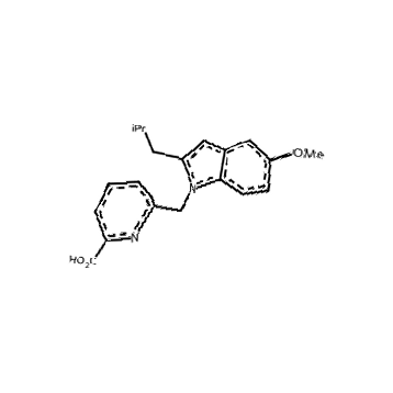 COc1ccc2c(c1)cc(CC(C)C)n2Cc1cccc(C(=O)O)n1